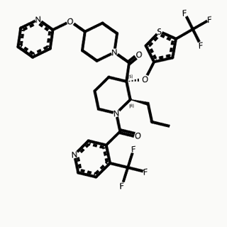 CCC[C@H]1N(C(=O)c2cnccc2C(F)(F)F)CCC[C@@]1(Oc1csc(C(F)(F)F)c1)C(=O)N1CCC(Oc2ccccn2)CC1